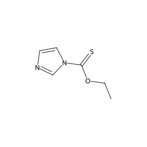 CCOC(=S)n1ccnc1